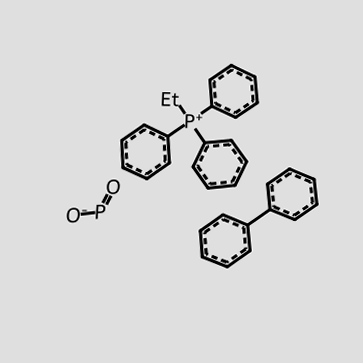 CC[P+](c1ccccc1)(c1ccccc1)c1ccccc1.O=P[O-].c1ccc(-c2ccccc2)cc1